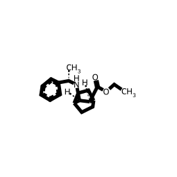 CCOC(=O)[C@H]1C2CCC(CC2)[C@H]1N[C@@H](C)c1ccccc1